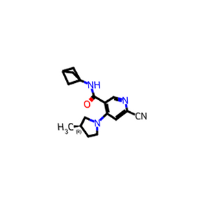 C[C@@H]1CCN(c2cc(C#N)ncc2C(=O)NC23CC(C2)C3)C1